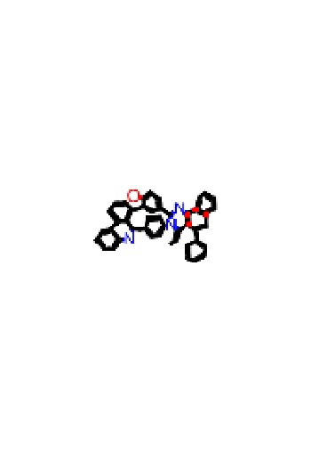 C\C=C(/N=C(\N=C(/C)c1ccccc1)c1ccc2oc3ccc4c5ccccc5nc(-c5ccccc5)c4c3c2c1)c1ccccc1-c1ccccc1